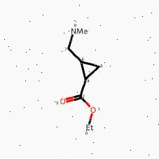 CCOC(=O)C1CC1CNC